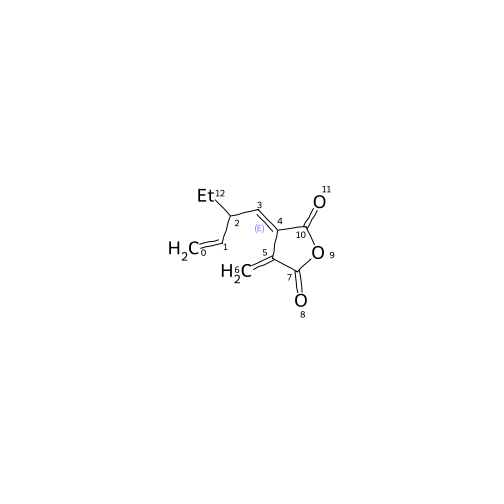 C=CC(/C=C1\C(=C)C(=O)OC1=O)CC